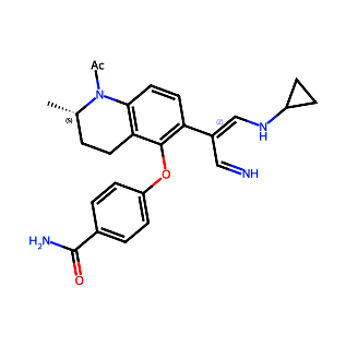 CC(=O)N1c2ccc(/C(C=N)=C/NC3CC3)c(Oc3ccc(C(N)=O)cc3)c2CC[C@@H]1C